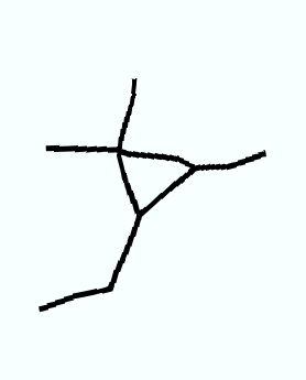 CCC1C(C)C1(C)C